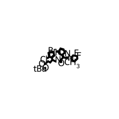 Cc1c(N2CCCC(F)(F)C2)nc2ccc(Br)cc2c1C(=O)NCC(CCC(=O)OC(C)(C)C)c1ccccc1Cl